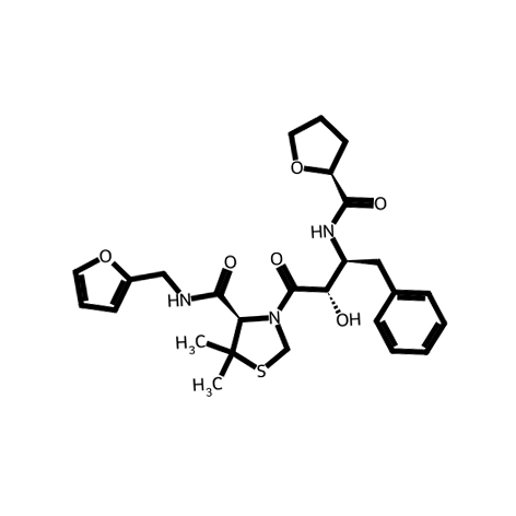 CC1(C)SCN(C(=O)[C@@H](O)[C@H](Cc2ccccc2)NC(=O)[C@@H]2CCCO2)[C@@H]1C(=O)NCc1ccco1